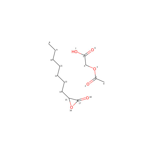 CC(=O)OCC(=O)O.CCCCCCCC1OC1=O